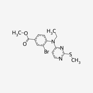 CCN(c1ccnc(SC)n1)c1ccc(C(=O)OC)cc1Br